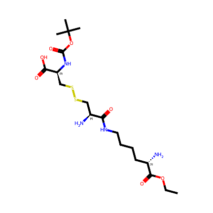 CCOC(=O)[C@@H](N)CCCCNC(=O)[C@@H](N)CSSC[C@H](NC(=O)OC(C)(C)C)C(=O)O